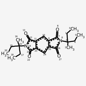 CCC(C)(CC)n1c(=O)c2cc3c(=O)n(C(C)(CC)CC)c(=O)c3cc2c1=O